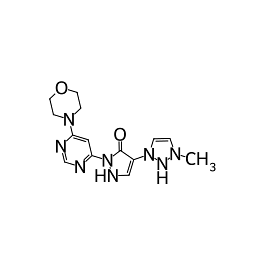 CN1C=CN(c2c[nH]n(-c3cc(N4CCOCC4)ncn3)c2=O)N1